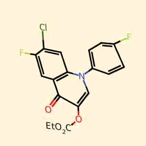 CCOC(=O)Oc1cn(-c2ccc(F)cc2)c2cc(Cl)c(F)cc2c1=O